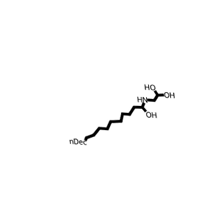 CCCCCCCCCCCCCCCCCCCC(O)NCC(O)O